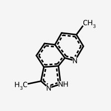 Cc1cnc2c(ccc3c(C)n[nH]c32)c1